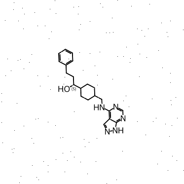 O[C@@H](CCc1ccccc1)C1CCC(CNc2ncnc3[nH]ncc23)CC1